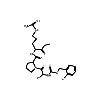 CC(C)C(NC(=O)OCc1ccccc1Cl)C(=O)N1CCCC1C(=O)NC(CCCNC(=N)N)C(=O)CF